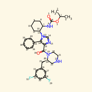 CC(C)OC(=O)NC1CCCC[C@@H]1n1cnc(C(=O)N2CCNC[C@H]2Cc2cc(F)cc(F)c2)c1-c1ccccc1